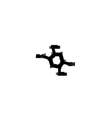 COc1cc(SC)c(OC)cc1O